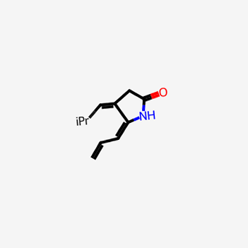 C=C/C=C1/NC(=O)C/C1=C/C(C)C